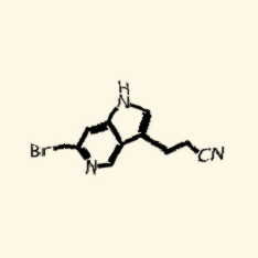 N#CCCc1c[nH]c2cc(Br)ncc12